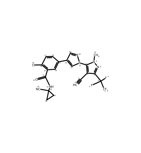 C#Cc1c(C(F)(F)C(F)(F)F)nn(C)c1-n1cc(-c2ccc(Cl)c(C(=O)NC3(C#N)CC3)c2)cn1